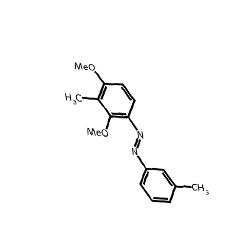 COc1ccc(N=Nc2cccc(C)c2)c(OC)c1C